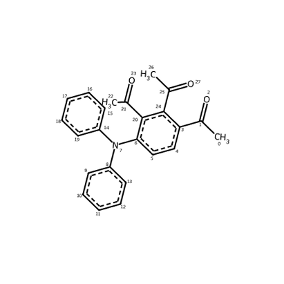 CC(=O)c1ccc(N(c2ccccc2)c2ccccc2)c(C(C)=O)c1C(C)=O